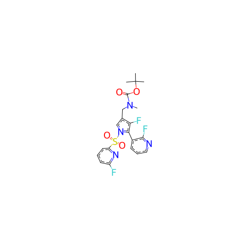 CN(Cc1cn(S(=O)(=O)c2cccc(F)n2)c(-c2cccnc2F)c1F)C(=O)OC(C)(C)C